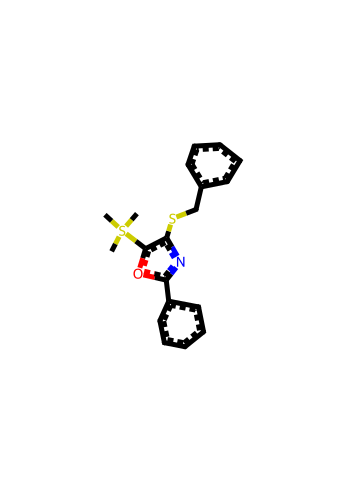 CS(C)(C)c1oc(-c2ccccc2)nc1SCc1ccccc1